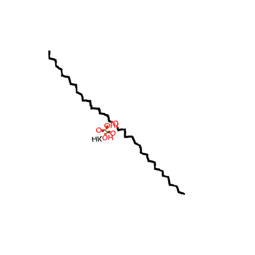 CCCCCCCCCCCCCCCCCCOCCCCCCCCCCCCCCCCCC.O=S(=O)(O)O.[KH]